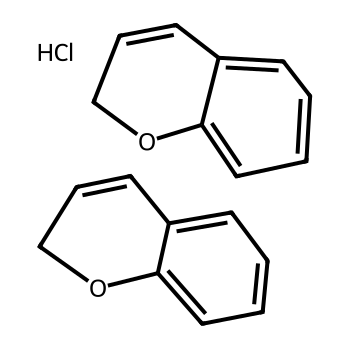 C1=Cc2ccccc2OC1.C1=Cc2ccccc2OC1.Cl